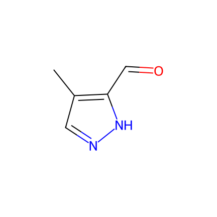 Cc1cn[nH]c1C=O